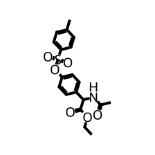 CCOC(=O)C(NC(C)=O)c1ccc(OS(=O)(=O)c2ccc(C)cc2)cc1